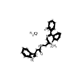 CN1c2ccccc2C(c2ccccc2F)=NCC1CNC(=O)Cc1c[nH]c2ccccc12.O